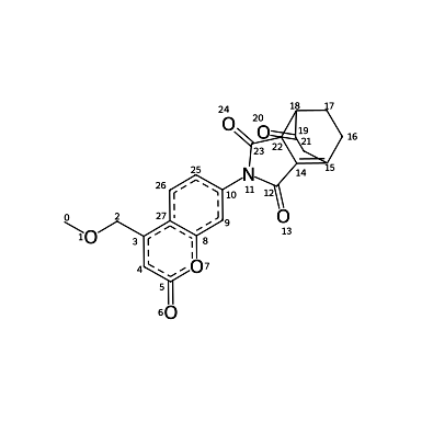 COCc1cc(=O)oc2cc(N3C(=O)C4=C5CCC(C(=O)C5)C4C3=O)ccc12